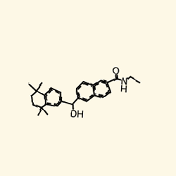 CCNC(=O)c1ccc2cc(C(O)c3ccc4c(c3)C(C)(C)CCC4(C)C)ccc2c1